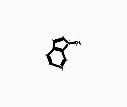 Cn1ccc2ccncc21